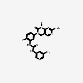 CCN1C(=O)N(c2ccc(F)c(NC(=O)Nc3cncc(C(F)(F)F)c3)c2)Cc2cnc(NC)nc21